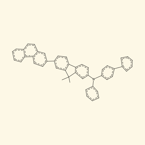 CC1(C)c2cc(-c3ccc4c(ccc5ccccc54)c3)ccc2-c2ccc(N(c3ccccc3)c3ccc(-c4ccccc4)cc3)cc21